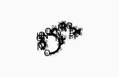 CC1(C)CC2CCCCOc3ccc(cn3)S(=O)(=O)NC(=O)c3ccc(-n4ccc(OCCC5(C(F)(F)F)CC5)n4)nc3N1C2